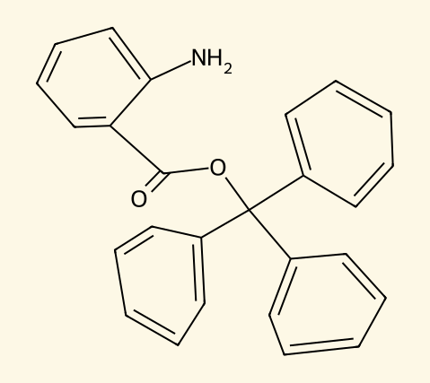 Nc1ccccc1C(=O)OC(c1ccccc1)(c1ccccc1)c1ccccc1